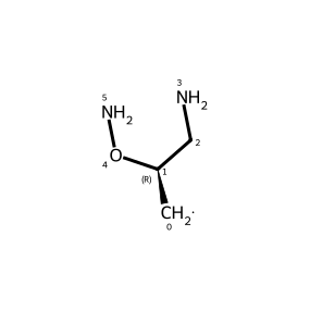 [CH2][C@H](CN)ON